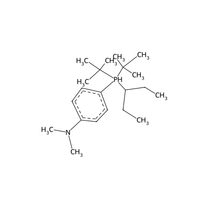 CCC(CC)[PH](c1ccc(N(C)C)cc1)(C(C)(C)C)C(C)(C)C